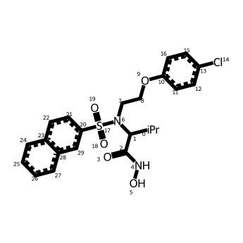 CC(C)C(C(=O)NO)N(CCOc1ccc(Cl)cc1)S(=O)(=O)c1ccc2ccccc2c1